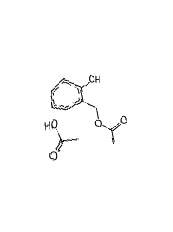 CC(=O)O.CC(=O)OCc1ccccc1O